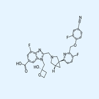 N#Cc1ccc(OCc2nc([C@@]34C[C@@H]3CN(Cc3nc5c(F)cc(C(=O)O)cc5n3C[C@@]3(O)CCO3)C4)ccc2F)c(F)c1